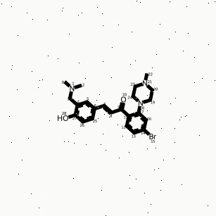 CN(C)Cc1cc(C=CC(=O)c2ccc(Br)cc2N2CCN(C)CC2)ccc1O